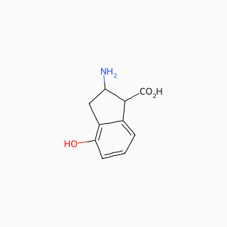 NC1Cc2c(O)cccc2C1C(=O)O